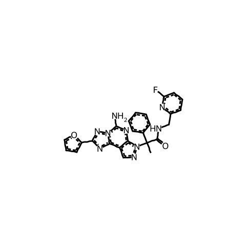 CC(C(=O)NCc1cccc(F)n1)(c1ccccc1)n1ncc2c1nc(N)n1nc(-c3ccco3)nc21